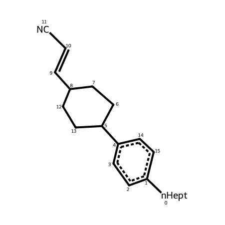 CCCCCCCc1ccc(C2CCC(C=CC#N)CC2)cc1